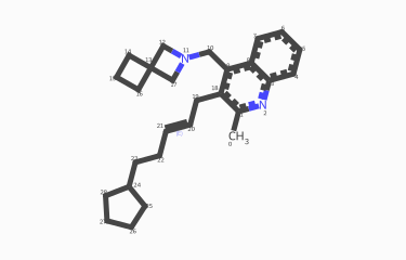 Cc1nc2ccccc2c(CN2CC3(CCC3)C2)c1C/C=C/CCC1CCCC1